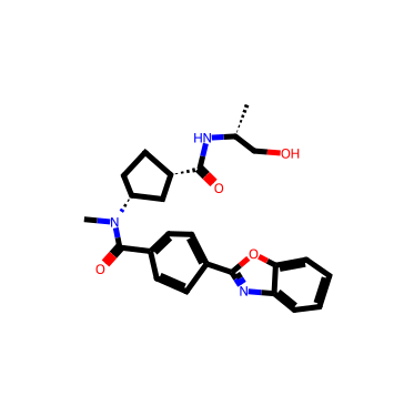 C[C@H](CO)NC(=O)[C@H]1CC[C@@H](N(C)C(=O)c2ccc(-c3nc4ccccc4o3)cc2)C1